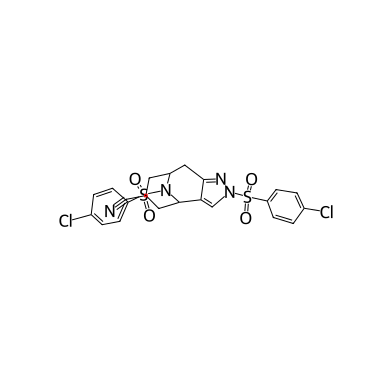 N#CC1CC2Cc3nn(S(=O)(=O)c4ccc(Cl)cc4)cc3C(C1)N2S(=O)(=O)c1ccc(Cl)cc1